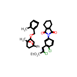 CCOC(=O)/C(Cl)=C/c1cc(N2C(=O)C3=C(CCCC3)C2=O)ccc1Cl.Cc1ccccc1COC1CC2(C(C)C)CCC1(C)O2